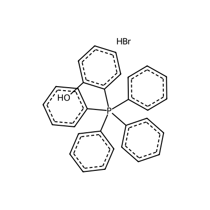 Br.Oc1ccccc1P(c1ccccc1)(c1ccccc1)(c1ccccc1)c1ccccc1